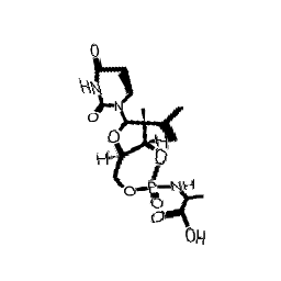 C=C(C)[C@@]1(C)C(n2ccc(=O)[nH]c2=O)O[C@@H]2COP(=O)(NC(C)C(=O)O)O[C@H]21